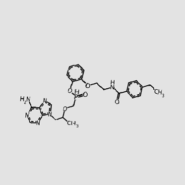 CCc1ccc(C(=O)NCCOc2ccccc2O[PH](=O)COC(C)Cn2cnc3c(N)ncnc32)cc1